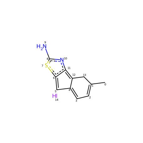 CC1=CC=C2C=c3sc(N)nc3=C2C1.I